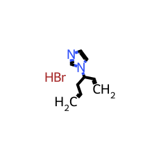 Br.C=CCC(C=C)n1ccnc1